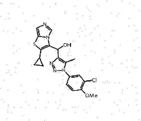 COc1ccc(-n2nnc(C(O)c3c(C4CC4)sc4cncn34)c2C)cc1Cl